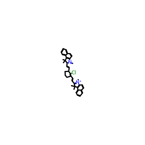 CN1c2ccc3ccccc3c2C(C)(C)C1/C=C/C1CCCC(/C=C/C2=[N+](C)c3ccc4ccccc4c3C2(C)C)=C1Cl